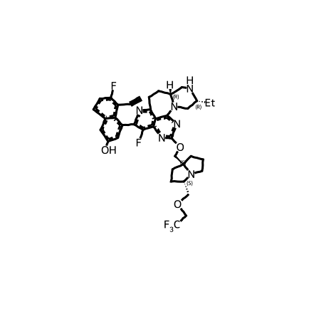 C#Cc1c(F)ccc2cc(O)cc(-c3nc4c5c(nc(OC[C@@]67CCCN6[C@H](COCC(F)(F)F)CC7)nc5c3F)N3C[C@@H](CC)NC[C@H]3CC4)c12